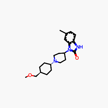 COC[C@H]1CC[C@H](N2CCC(n3c(=O)[nH]c4ccc(C)cc43)CC2)CC1